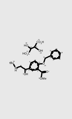 COC(=O)c1cc(C(O)CNC(C)(C)C)ccc1OCc1ccccc1.O=C(O)C(O)C(O)C(=O)O